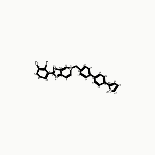 FC1=C(F)C(c2nc3ccn(Cc4ccc(-c5ccc(-c6cccs6)cc5)cc4)cc-3n2)=CCC1